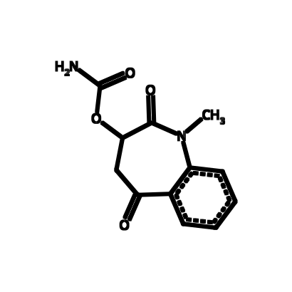 CN1C(=O)C(OC(N)=O)CC(=O)c2ccccc21